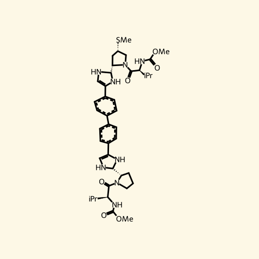 COC(=O)N[C@H](C(=O)N1CCC[C@H]1C1NC=C(c2ccc(-c3ccc(C4=CNC([C@@H]5C[C@H](SC)CN5C(=O)[C@@H](NC(=O)OC)C(C)C)N4)cc3)cc2)N1)C(C)C